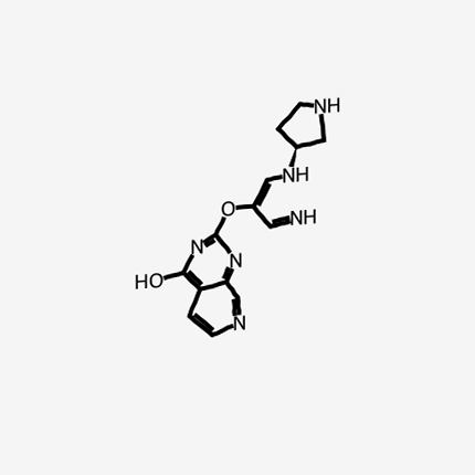 N=C/C(=C\N[C@H]1CCNC1)Oc1nc(O)c2ccncc2n1